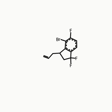 C=CCC1CC(F)(F)c2ccc(F)c(Br)c21